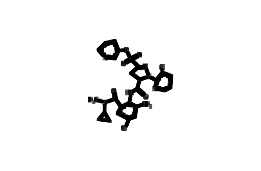 Cc1cc(Cl)cc(C(=O)N(C)C2CC2)c1NC(=O)C1CC(S(=O)(=O)Oc2cccnc2)=NN1c1ncccc1Cl